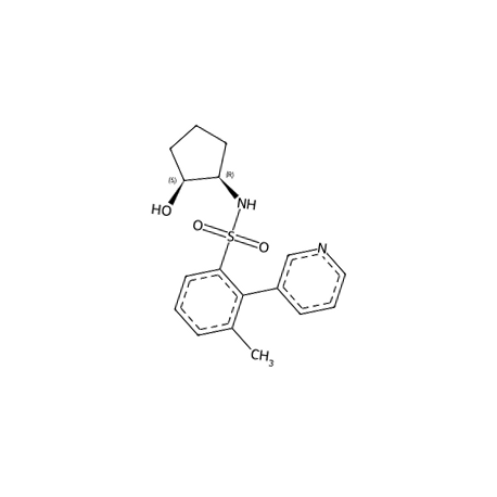 Cc1cccc(S(=O)(=O)N[C@@H]2CCC[C@@H]2O)c1-c1cccnc1